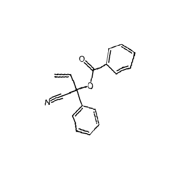 C=CC(C#N)(OC(=O)c1ccccc1)c1ccccc1